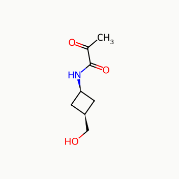 CC(=O)C(=O)N[C@H]1C[C@@H](CO)C1